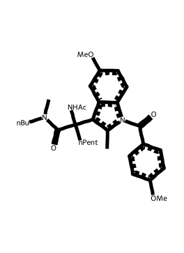 CCCCCC(NC(C)=O)(C(=O)N(C)CCCC)c1c(C)n(C(=O)c2ccc(OC)cc2)c2ccc(OC)cc12